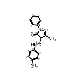 CC1=NN(c2ccccc2)C(=O)C1NNc1ccc(N)cc1